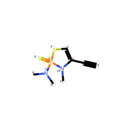 C#CC1=CSP(=S)(N(C)C)N1C